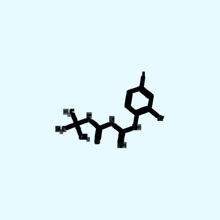 CC(C)(C)NC(=O)NC(=N)Nc1ccc(I)cc1Br